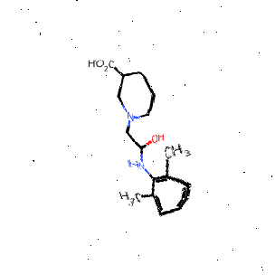 Cc1cccc(C)c1NC(O)CN1CCCC(C(=O)O)C1